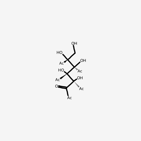 CC(=O)C(=O)[C@@](O)(C(C)=O)[C@@](O)(C(C)=O)[C@@](O)(C(C)=O)[C@](O)(CO)C(C)=O